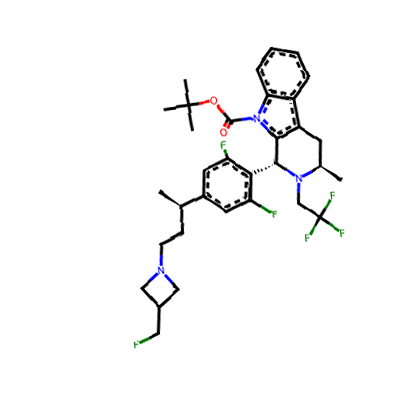 C[C@H](CCN1CC(CF)C1)c1cc(F)c([C@@H]2c3c(c4ccccc4n3C(=O)OC(C)(C)C)C[C@@H](C)N2CC(F)(F)F)c(F)c1